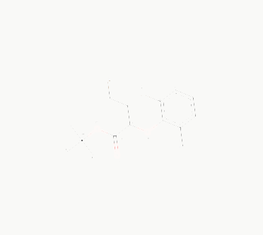 Cc1cccc(Br)c1OC(CCBr)C(=O)OC(C)(C)C